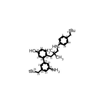 CC(C)(C)Cc1ccc(NCC(C)(C)Cc2ccc(O)cc2-c2cc(N)cc(CC(C)(C)C)c2)cc1